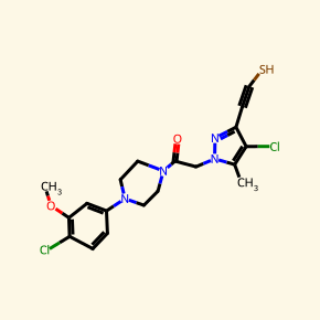 COc1cc(N2CCN(C(=O)Cn3nc(C#CS)c(Cl)c3C)CC2)ccc1Cl